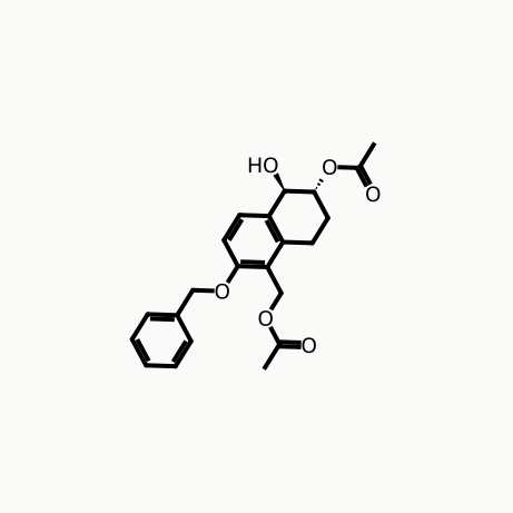 CC(=O)OCc1c(OCc2ccccc2)ccc2c1CC[C@@H](OC(C)=O)[C@@H]2O